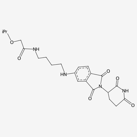 CC(C)OCC(=O)NCCCCNc1ccc2c(c1)C(=O)N(C1CCC(=O)NC1=O)C2=O